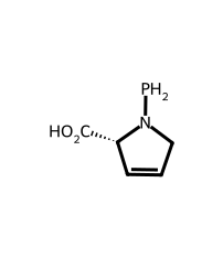 O=C(O)[C@H]1C=CCN1P